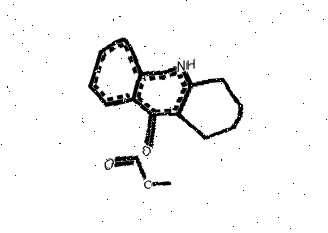 COC=O.O=c1c2c([nH]c3ccccc13)CCCC2